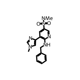 CNS(=O)(=O)c1cnc(NCc2ccccc2)c(-c2cn(C)cn2)c1